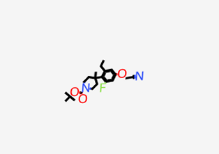 CCc1cc(OCC#N)cc(F)c1C1(C)CCN(C(=O)OC(C)(C)C)CC1